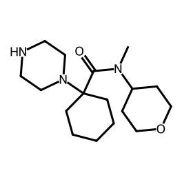 CN(C(=O)C1(N2CCNCC2)CCCCC1)C1CCOCC1